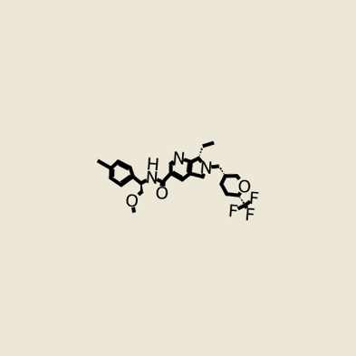 CC[C@H]1c2ncc(C(=O)N[C@@H](COC)c3ccc(C)cc3)cc2CN1C[C@H]1CC[C@@H](C(F)(F)F)OC1